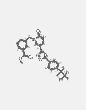 COC(=O)c1cccc(Cn2cc(-c3nc(-c4ccc(C(C)(C)C(F)(F)F)cc4)no3)ccc2=O)c1